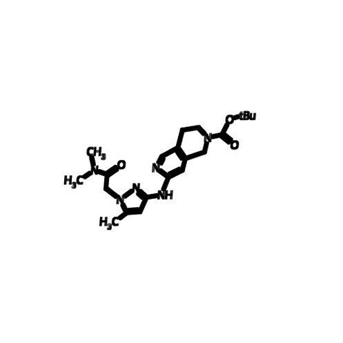 Cc1cc(Nc2cc3c(cn2)CCN(C(=O)OC(C)(C)C)C3)nn1CC(=O)N(C)C